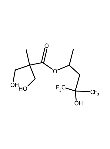 CC(CC(O)(C(F)(F)F)C(F)(F)F)OC(=O)C(C)(CO)CO